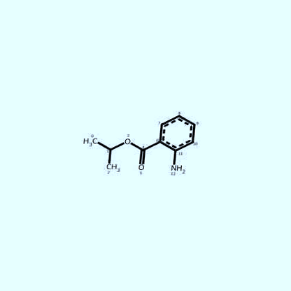 CC(C)OC(=O)c1ccccc1N